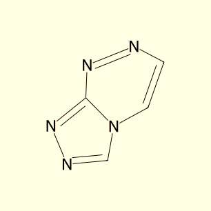 c1cn2cnnc2nn1